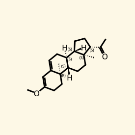 COC1=CC2=CC[C@H]3[C@@H]4CC[C@H](C(C)=O)[C@@]4(C)CC[C@@H]3[C@@]2(C)CC1